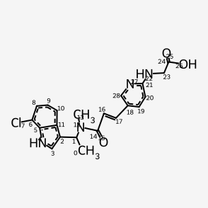 CC(c1c[nH]c2c(Cl)cccc12)N(C)C(=O)C=Cc1ccc(NCC(=O)O)nc1